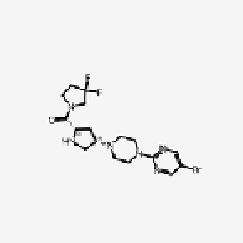 O=C([C@@H]1C[C@H](N2CCN(c3ncc(Br)cn3)CC2)CN1)N1CCC(F)(F)C1